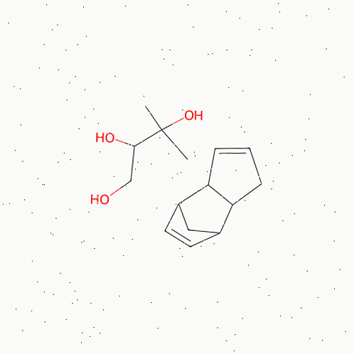 C1=CC2C3C=CC(C3)C2C1.CC(C)(O)C(O)CO